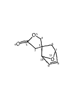 O=C1CC2(CO1)CC1C=CC2O1